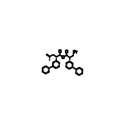 C=C(C)CC(C(=O)OC(=O)C(CC(C)C)c1cccc(-c2ccccc2)c1)c1cccc(-c2ccccc2)c1